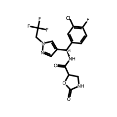 O=C1NCC(C(=O)N[C@H](c2ccc(F)c(Cl)c2)c2cnn(CC(F)(F)F)c2)O1